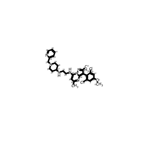 COc1cc(Cl)c(-c2c(C)nn3c(NCCNC4CCN(Cc5ccccn5)CC4)cc(C)nc23)c(Cl)c1